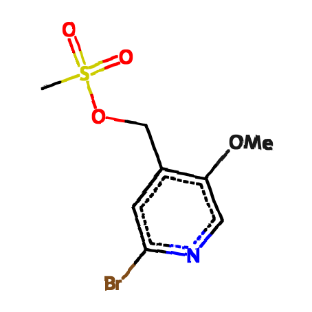 COc1cnc(Br)cc1COS(C)(=O)=O